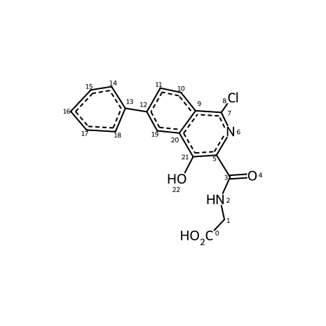 O=C(O)CNC(=O)c1nc(Cl)c2ccc(-c3ccccc3)cc2c1O